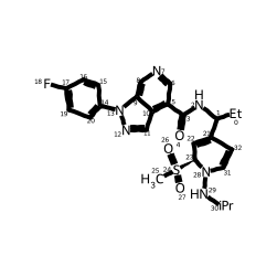 CCC(NC(=O)c1cncc2c1cnn2-c1ccc(F)cc1)C1=C[C@H](S(C)(=O)=O)N(NC(C)C)C=C1